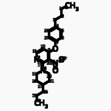 CCCCc1ccc(Oc2ccnc(N3CCC(CCC)CC3)c2[N+](=O)[O-])cc1